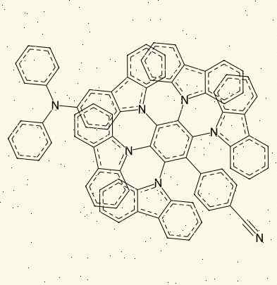 N#Cc1ccc(-c2c(-n3c4ccccc4c4ccccc43)c(-n3c4ccccc4c4ccccc43)c(-n3c4ccccc4c4cc(N(c5ccccc5)c5ccccc5)ccc43)c(-n3c4ccccc4c4ccccc43)c2-n2c3ccccc3c3ccccc32)cc1